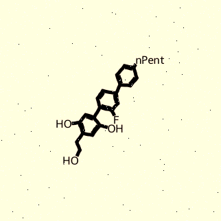 CCCCCc1ccc(-c2ccc(-c3cc(O)c(CCO)cc3O)c(F)c2)cc1